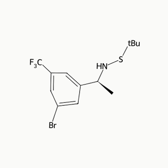 C[C@H](NSC(C)(C)C)c1cc(Br)cc(C(F)(F)F)c1